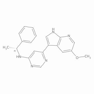 COc1cnc2[nH]cc(-c3cc(N[C@H](C)c4ccccc4)ncn3)c2c1